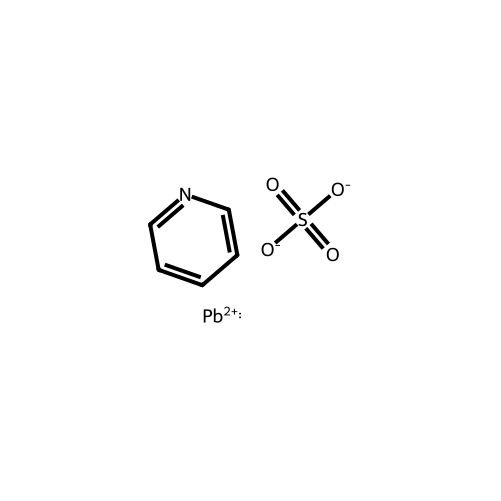 O=S(=O)([O-])[O-].[Pb+2].c1ccncc1